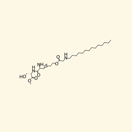 CCCCCCCCCCCCCCNCC(=O)OCCSC[C@H](N)C(=O)N[C@@H](CO)C(=O)OC